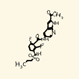 CCCS(=O)(=O)Nc1ccc(F)c(C(=O)Nc2cnc3[nH]c(C(C)=O)cc3c2)c1F